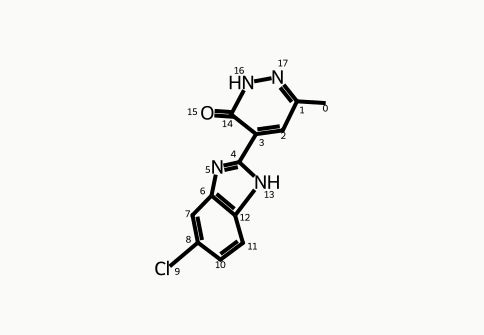 Cc1cc(-c2nc3cc(Cl)ccc3[nH]2)c(=O)[nH]n1